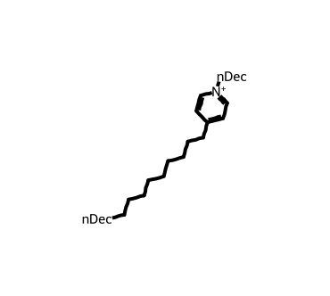 CCCCCCCCCCCCCCCCCCCc1cc[n+](CCCCCCCCCC)cc1